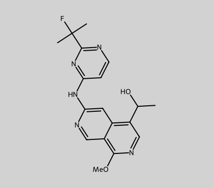 COc1ncc(C(C)O)c2cc(Nc3ccnc(C(C)(C)F)n3)ncc12